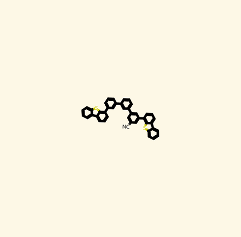 N#Cc1cc(-c2cccc(-c3cccc(-c4cccc5c4sc4ccccc45)c3)c2)cc(-c2cccc3c2sc2ccccc23)c1